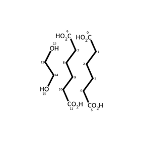 O=C(O)CCCCC(=O)O.O=C(O)CCCCC(=O)O.OCCO